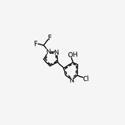 Oc1cc(Cl)ncc1-c1ccn(C(F)F)n1